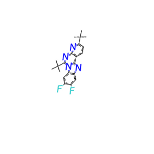 CC(C)(C)c1ccc2c(n1)nc(C(C)(C)C)n1c3cc(F)c(F)cc3nc21